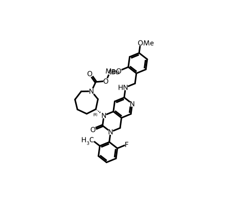 COc1ccc(CNc2cc3c(cn2)CN(c2c(C)cccc2F)C(=O)N3[C@@H]2CCCCN(C(=O)OC(C)(C)C)C2)c(OC)c1